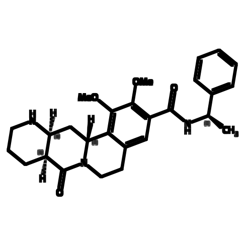 COc1c(C(=O)N[C@H](C)c2ccccc2)cc2c(c1OC)[C@H]1C[C@@H]3NCCC[C@@H]3C(=O)N1CC2